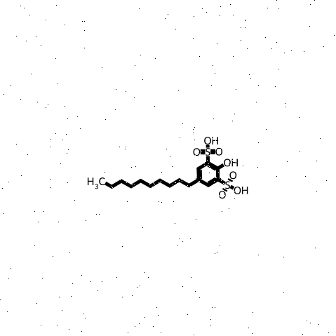 CCCCCCCCCCc1cc(S(=O)(=O)O)c(O)c(S(=O)(=O)O)c1